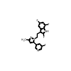 Cc1cc(-c2cncc(F)c2)n(CCc2c(F)[nH]c3c(F)cc(F)cc23)n1